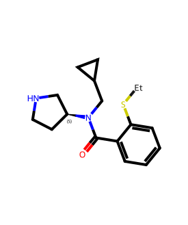 CCSc1ccccc1C(=O)N(CC1CC1)[C@H]1CCNC1